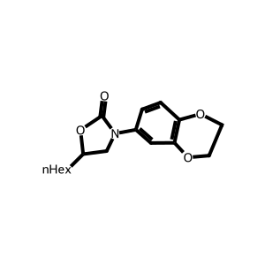 CCCCCCC1CN(c2ccc3c(c2)OCCO3)C(=O)O1